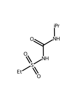 CCS(=O)(=O)NC(=O)NC(C)C